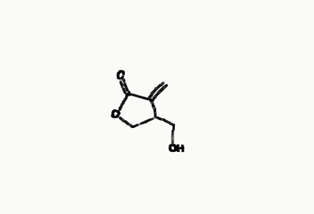 C=C1C(=O)OCC1CO